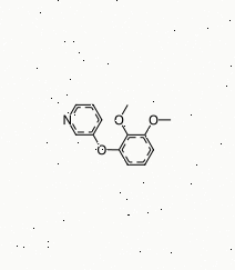 COc1cccc(Oc2cccnc2)c1OC